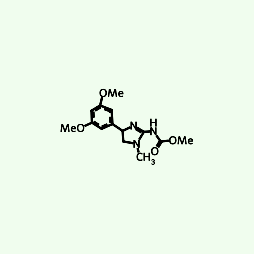 COC(=O)NC1=NC(c2cc(OC)cc(OC)c2)CN1C